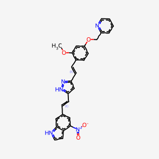 COc1cc(OCc2ccccn2)ccc1/C=C/c1cc(/C=C/c2cc([N+](=O)[O-])c3cc[nH]c3c2)[nH]n1